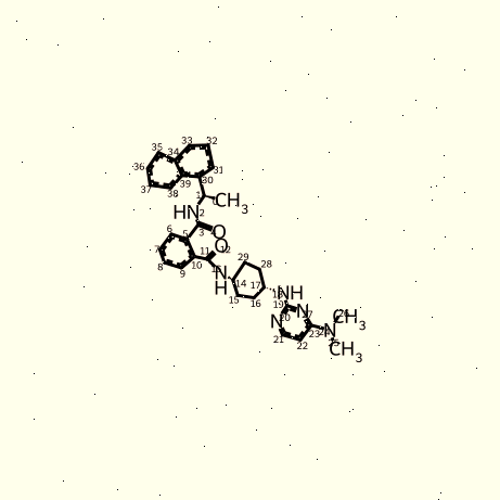 C[C@@H](NC(=O)c1ccccc1C(=O)N[C@H]1CC[C@@H](Nc2nccc(N(C)C)n2)CC1)c1cccc2ccccc12